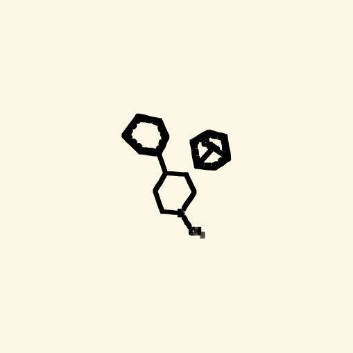 CN1CCC(c2ccccc2)CC1.O=C1c2cccc1c2